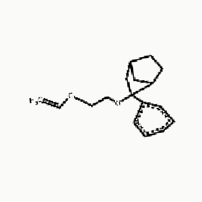 C=COCCOC1(c2ccccc2)CC2CCC1C2